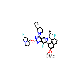 C=Cc1c(F)ccc2cc(OCOC)cc(-c3ncc4c(N5CCCC(CC#N)C5)nc(OC[C@@]56CCCN5C[C@H](F)C6)nc4c3F)c12